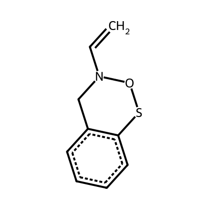 C=CN1Cc2ccccc2SO1